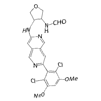 COc1cc(OC)c(Cl)c(-c2cc3cnc(NC4COCC4NC=O)cc3cn2)c1Cl